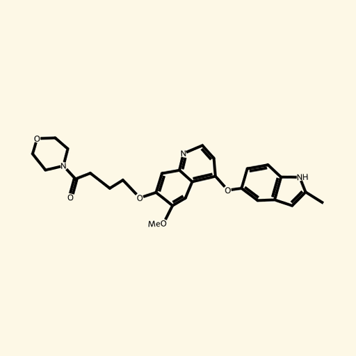 COc1cc2c(Oc3ccc4[nH]c(C)cc4c3)ccnc2cc1OCCCC(=O)N1CCOCC1